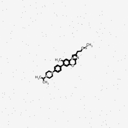 CSOCCc1cn2c(n1)COc1cc(-c3ccc(N4CCN(C(C)C)CC4)cc3)c(C)cc1-2